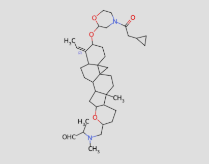 C/C=C1\C(OC2CN(C(=O)CC3CC3)CCO2)CCC23CC24CCC2(C)C5CCC(CN(C)C(C)C=O)OC5CC2C4CCC13